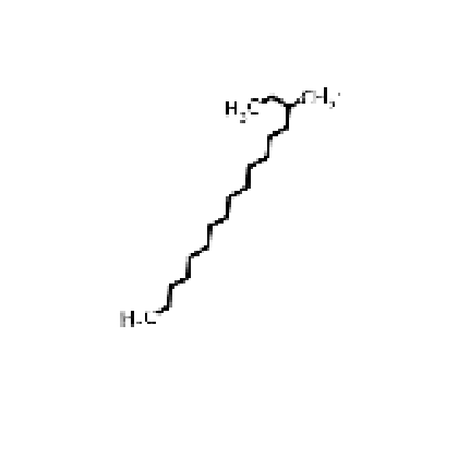 [CH2]C(CC)CCCCCCCCCCCCCC